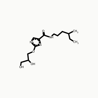 CCC(C)CCCNC(=O)c1cnc(OCC(O)CO)s1